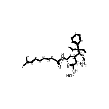 CCC(CC)(c1ccccc1)C(OC)[C@H](CCNC(=O)CCCCC=CC(C)C)[C@H](N)C(=O)O.Cl